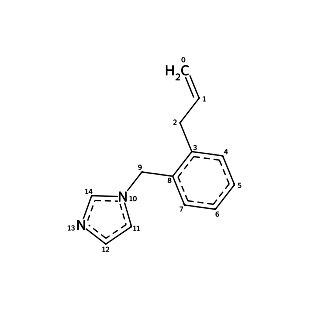 C=CCc1ccccc1Cn1ccnc1